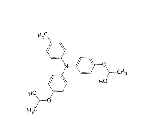 Cc1ccc(N(c2ccc(OC(C)O)cc2)c2ccc(OC(C)O)cc2)cc1